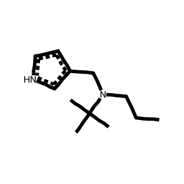 CCCN(Cc1cc[nH]c1)C(C)(C)C